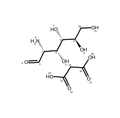 N[C@@H](C=O)[C@@H](O)[C@H](O)[C@H](O)CO.O=C(O)CC(=O)O